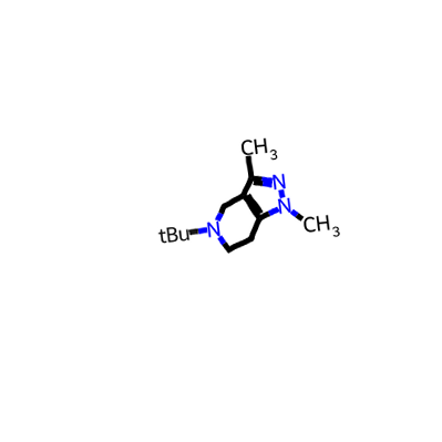 Cc1nn(C)c2c1CN(C(C)(C)C)CC2